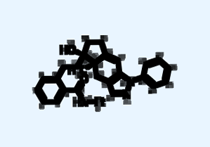 CCNC(=O)c1ccccc1CC[C@]1(O)CCC2=Cc3c(cnn3-c3ccccc3)C[C@@]21C